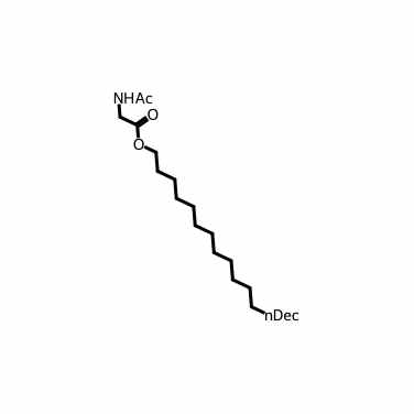 CCCCCCCCCCCCCCCCCCCCCCOC(=O)CNC(C)=O